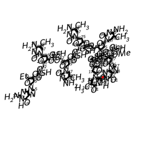 CC[C@H]1O[C@@H](n2cnc3c(=O)[nH]c(N)nc32)C[C@H]1OP(=O)(S)OC[C@H]1O[C@@H](n2cc(C)c(N)nc2=O)C[C@H]1OP(=O)(S)OC[C@H]1O[C@@H](n2cc(C)c(N)nc2=O)C[C@H]1OP(=O)(S)OC[C@H]1O[C@@H](n2cc(C)c(N)nc2=O)C[C@H]1OP(=O)(S)OC[C@H]1O[C@@H](n2cc(C)c(N)nc2=O)C[C@H]1OP(=O)(S)OC[C@H]1O[C@@H](n2cc(C)c(=O)[nH]c2=O)C[C@H]1OP(=O)(S)OC[C@H]1O[C@@H](n2cnc3c(=O)[nH]c(N)nc32)C[C@H]1OP(=O)(S)OC